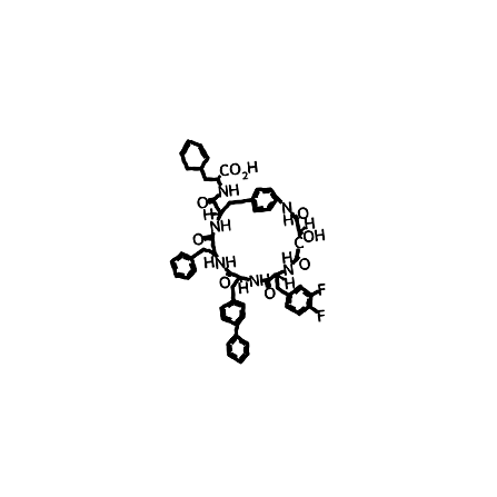 O=C1C[C@@H](O)C(=O)Nc2ccc(cc2)C[C@@H](C(=O)N[C@@H](CC2C=CC=CC2)C(=O)O)NC(=O)[C@@H](Cc2ccccc2)NC(=O)[C@H](Cc2ccc(-c3ccccc3)cc2)NC(=O)[C@@H](Cc2ccc(F)c(F)c2)N1